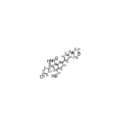 O=c1[nH]cc(-c2ccc(Cl)cc2)c2cc(CO)c3ccc(-c4ccc(CN5CCOCC5)cc4)cc3c12